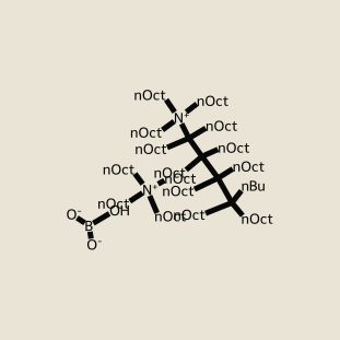 CCCCCCCCC(CCCC)(CCCCCCCC)C(CCCCCCCC)(CCCCCCCC)C(CCCCCCCC)(CCCCCCCC)C(CCCCCCCC)(CCCCCCCC)[N+](CCCCCCCC)(CCCCCCCC)CCCCCCCC.CCCCCCCC[N+](CCCCCCCC)(CCCCCCCC)CCCCCCCC.[O-]B([O-])O